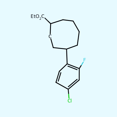 CCOC(=O)C1CCCCC(c2ccc(Cl)cc2F)CC1